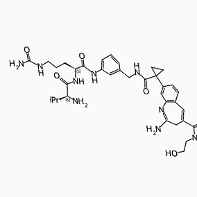 CCCN(CCO)C(=O)C1=Cc2ccc(C3(C(=O)NCc4cccc(NC(=O)[C@H](CCCNC(N)=O)NC(=O)[C@@H](N)C(C)C)c4)CC3)cc2N=C(N)C1